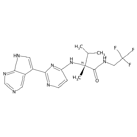 CC(C)[C@@](C)(Nc1ccnc(-c2c[nH]c3ncncc23)n1)C(=O)NCC(F)(F)F